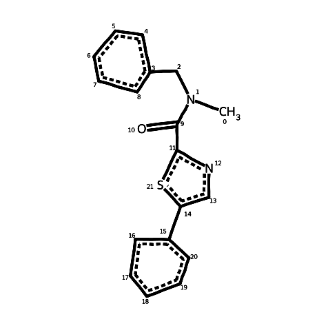 CN(Cc1ccccc1)C(=O)c1ncc(-c2ccccc2)s1